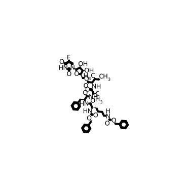 CC[C@H](C)[C@H](NC(=O)[C@H](C)NC(=O)[C@H](Cc1ccccc1)NC(=O)[C@H](CCCCNC(=O)OCc1ccccc1)NC(=O)OCc1ccccc1)C(=O)OC[C@H]1O[C@@H](n2cc(F)c(=O)[nH]c2=O)[C@H](O)[C@@H]1O